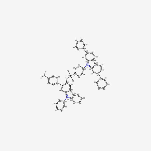 CC(C)c1ccc(-c2cc3c(cc2CC(C)(C)c2ccc(-n4c5cc(-c6ccccc6)ccc5c5ccc(-c6ccccc6)cc54)cc2)c2ccccc2n3-c2ccccc2)cc1